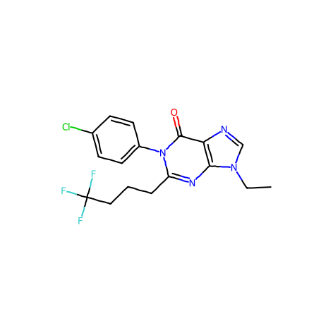 CCn1cnc2c(=O)n(-c3ccc(Cl)cc3)c(CCCC(F)(F)F)nc21